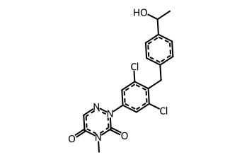 CC(O)c1ccc(Cc2c(Cl)cc(-n3ncc(=O)n(C)c3=O)cc2Cl)cc1